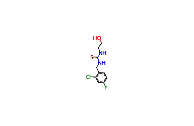 OCCNC(=S)NCc1ccc(F)cc1Cl